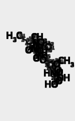 CCCCCC(C(=O)NCNC(=O)c1ccc(-c2ccc(C(=O)NC(CC(=O)O)C(=O)O)c(OCC)c2)o1)C(CC)N(C=O)OC(=O)Cc1ccccc1